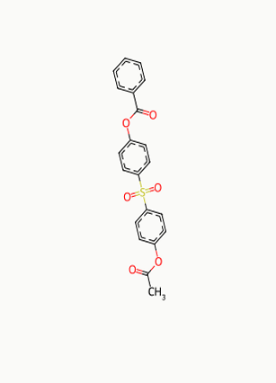 CC(=O)Oc1ccc(S(=O)(=O)c2ccc(OC(=O)c3ccccc3)cc2)cc1